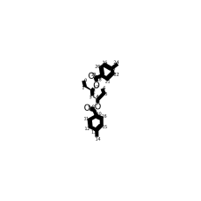 CC[C@H](C[C@H](CC)OC(=O)c1ccc(C)cc1)OC(=O)c1ccc(C)cc1